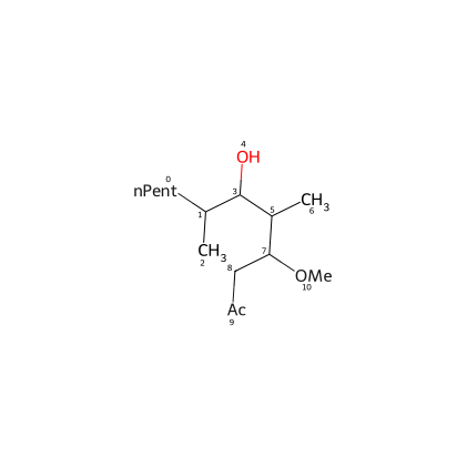 CCCCCC(C)C(O)C(C)C(CC(C)=O)OC